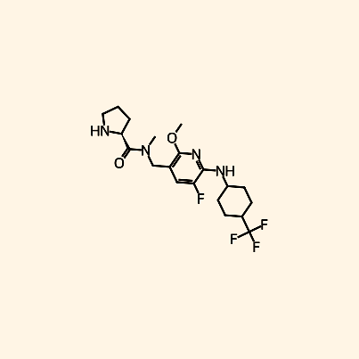 COc1nc(NC2CCC(C(F)(F)F)CC2)c(F)cc1CN(C)C(=O)[C@@H]1CCCN1